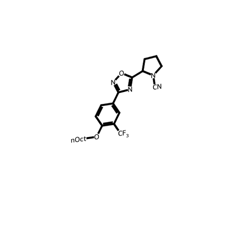 CCCCCCCCOc1ccc(-c2noc(C3CCCN3C#N)n2)cc1C(F)(F)F